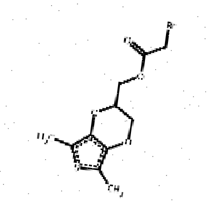 Cc1sc(C)c2c1OCC(COC(=O)CBr)O2